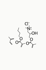 C=C(C)C(=O)OCC(O)C[N+](C)(C)C.C=C(C)C(=O)OCCCC.C=CC(=C)C.[Cl-]